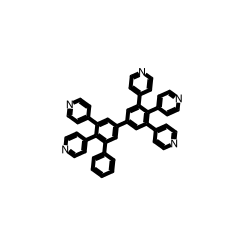 c1ccc(-c2cc(-c3cc(-c4ccncc4)c(-c4ccncc4)c(-c4ccncc4)c3)cc(-c3ccncc3)c2-c2ccncc2)cc1